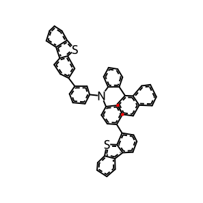 c1cc(-c2ccc3c(c2)sc2ccccc23)cc(N(c2ccc(-c3cccc4c3sc3ccccc34)cc2)c2ccccc2-c2cccc3ccccc23)c1